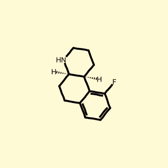 Fc1cccc2c1[C@@H]1CCCN[C@@H]1CC2